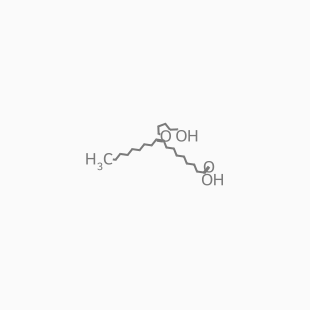 CCCCCCCC/C=C\CCCCCCCC(=O)O.OCC1CCCO1